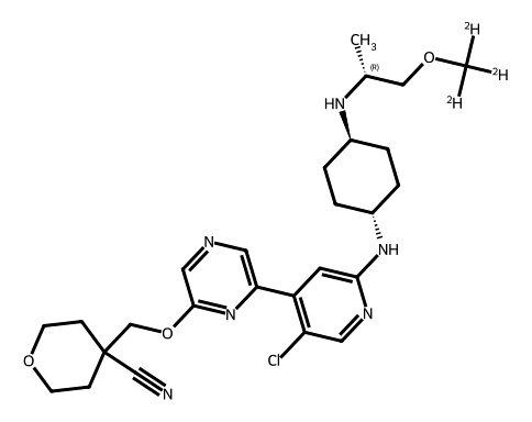 [2H]C([2H])([2H])OC[C@@H](C)N[C@H]1CC[C@H](Nc2cc(-c3cncc(OCC4(C#N)CCOCC4)n3)c(Cl)cn2)CC1